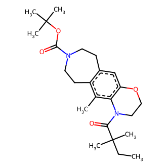 CCC(C)(C)C(=O)N1CCOc2cc3c(c(C)c21)CCN(C(=O)OC(C)(C)C)CC3